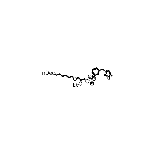 CCCCCCCCCCCCCCCCOCC(COP(=O)(O)Oc1cccc(Cn2cc[n+](C)c2)c1)OCC